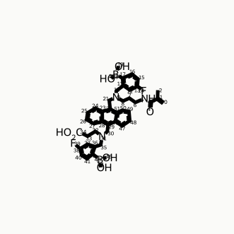 C=C(C)C(=O)NCCCN(Cc1cc(F)ccc1B(O)O)Cc1c2ccccc2c(CN(CCC(=O)O)Cc2cc(F)ccc2B(O)O)c2ccccc12